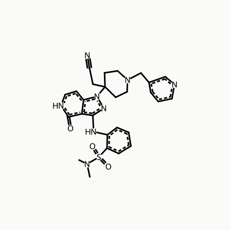 CN(C)S(=O)(=O)c1ccccc1Nc1nn(C2(CC#N)CCN(Cc3cccnc3)CC2)c2cc[nH]c(=O)c12